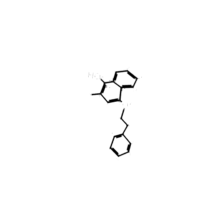 Cc1cc(OCCc2ccccc2)c2ccccc2c1O